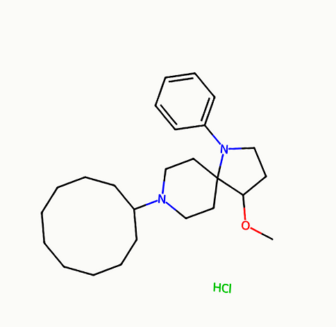 COC1CCN(c2ccccc2)C12CCN(C1CCCCCCCCC1)CC2.Cl